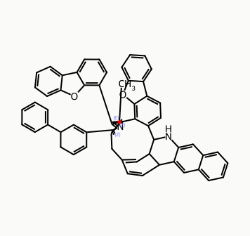 CC1C/C=C2/C(=C(C3=CC(c4ccccc4)CC=C3)\N=C/1c1cccc3c1oc1ccccc13)CC1=CC3C(C=C1)c1cc4ccccc4cc1NC3c1ccc3c(oc4ccccc43)c12